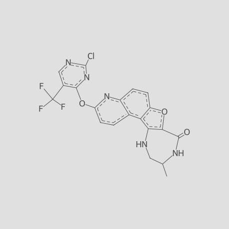 CC1CNc2c(oc3ccc4nc(Oc5nc(Cl)ncc5C(F)(F)F)ccc4c23)C(=O)N1